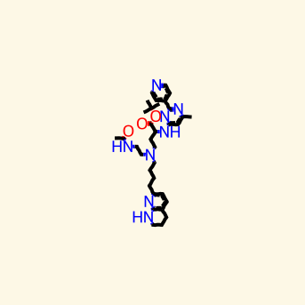 CC(=O)NCCN(CCCCc1ccc2c(n1)NCCC2)CCC(Nc1cc(C)nc(-c2ccncc2)n1)C(=O)OC(C)(C)C